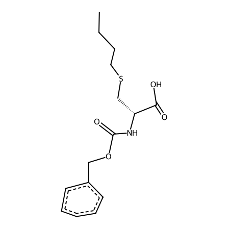 CCCCSC[C@@H](NC(=O)OCc1ccccc1)C(=O)O